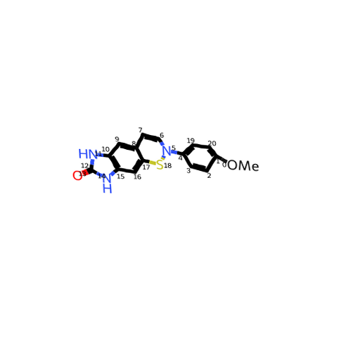 COc1ccc(N2C=Cc3cc4[nH]c(=O)[nH]c4cc3S2)cc1